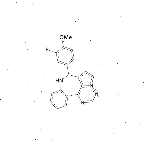 COc1ccc(C2Nc3ccccc3-c3ncnn4ccc2c34)cc1F